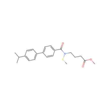 COC(=O)CCCN(SC)C(=O)c1ccc(-c2ccc(C(C)C)cc2)cc1